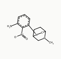 CN1CC2CCC1CN2c1cccc(N)c1[N+](=O)[O-]